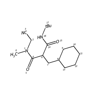 CN(CC#N)C(=O)C(CC1CCCCC1)C(=O)NC(C)(C)C